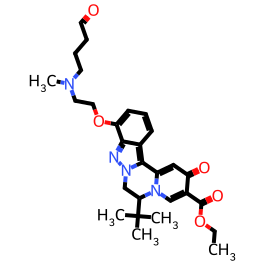 CCOC(=O)c1cn2c(cc1=O)-c1c3cccc(OCCN(C)CCCC=O)c3nn1CC2C(C)(C)C